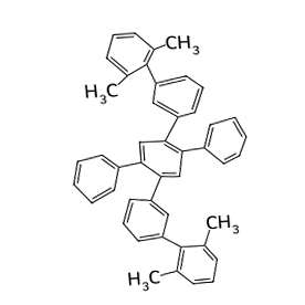 Cc1cccc(C)c1-c1cccc(-c2cc(-c3ccccc3)c(-c3cccc(-c4c(C)cccc4C)c3)cc2-c2ccccc2)c1